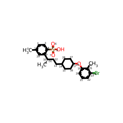 Cc1ccc(S(=O)(=O)O)c([C@@H](C)CCC2CCC(Oc3cccc(Br)c3C)CC2)c1